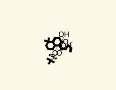 C=C[C@@]1(C)CC(=O)[C@@]2(O)[C@](C)(O1)[C@@H](O)C=C1C(C)(C)CC[C@H](O[Si](C)(C)C(C)(C)C)[C@@]12C